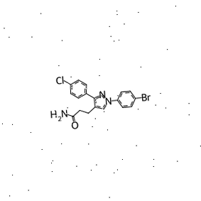 NC(=O)CCc1cn(-c2ccc(Br)cc2)nc1-c1ccc(Cl)cc1